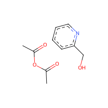 CC(=O)OC(C)=O.OCc1ccccn1